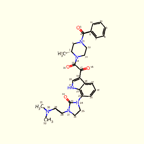 C[C@@H]1CN(C(=O)c2ccccc2)CCN1C(=O)C(=O)c1c[nH]c2c(N3CCN(CCN(C)C)C3=O)cccc12